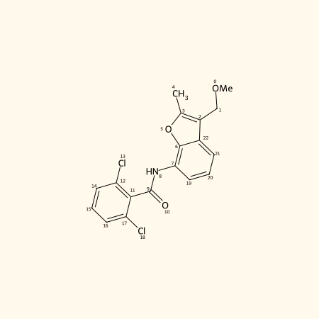 COCc1c(C)oc2c(NC(=O)c3c(Cl)cccc3Cl)cccc12